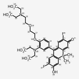 CS1(C)C2=CC(=O)C(F)=CC2=C(c2ccc(OCCOCCN(CC(=O)O)CC(=O)O)c(N(CC(=O)O)CC(=O)O)c2)c2cc(F)c(O)cc21